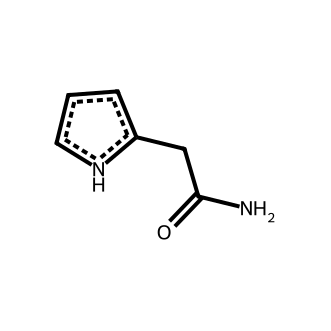 NC(=O)Cc1ccc[nH]1